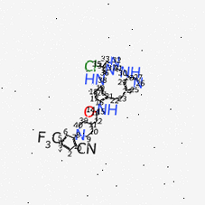 N#Cc1ccc(C(F)(F)F)cc1N1CCC(CC(=O)Nc2ccc3cc2CCc2cncc(c2)Nc2ncc(Cl)c(n2)N3)CC1